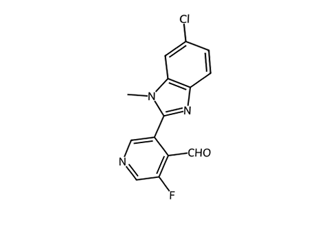 Cn1c(-c2cncc(F)c2C=O)nc2ccc(Cl)cc21